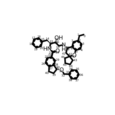 CCc1ccc2c(c1)[C@@H](NC[C@@H](O)[C@H](Cc1ccccc1)NC(=O)c1ccc3c(c1)[C@H](OCc1ccccc1)CC3)CC1(CCCC1)O2